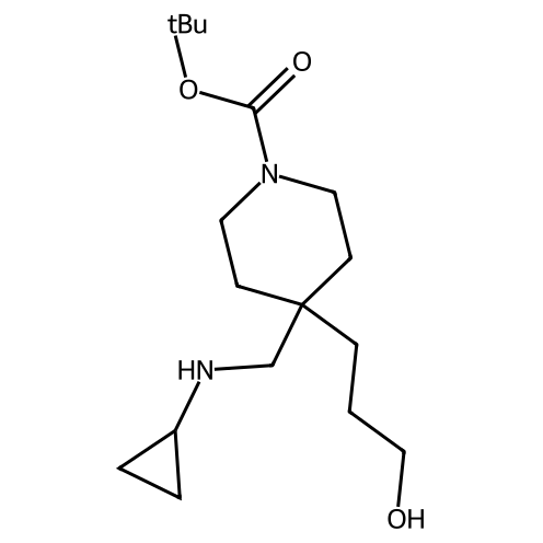 CC(C)(C)OC(=O)N1CCC(CCCO)(CNC2CC2)CC1